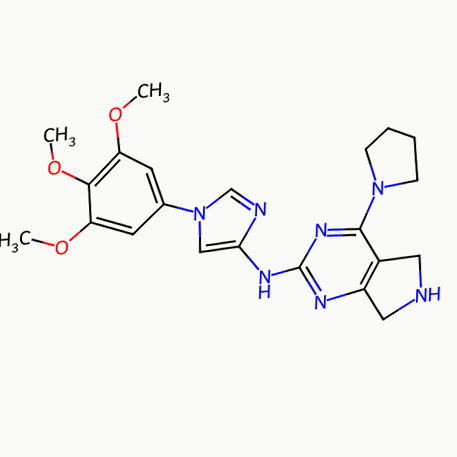 COc1cc(-n2cnc(Nc3nc4c(c(N5CCCC5)n3)CNC4)c2)cc(OC)c1OC